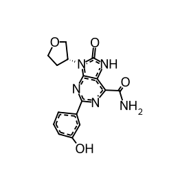 NC(=O)c1nc(-c2cccc(O)c2)nc2c1[nH]c(=O)n2[C@@H]1CCOC1